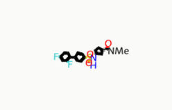 CNC(=O)[C@@H]1CC[C@H](NS(=O)(=O)c2ccc(-c3ccc(F)cc3F)cc2)C1